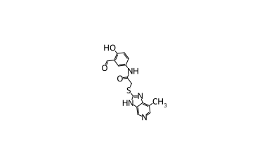 Cc1cncc2[nH]c(SCC(=O)Nc3ccc(O)c(C=O)c3)nc12